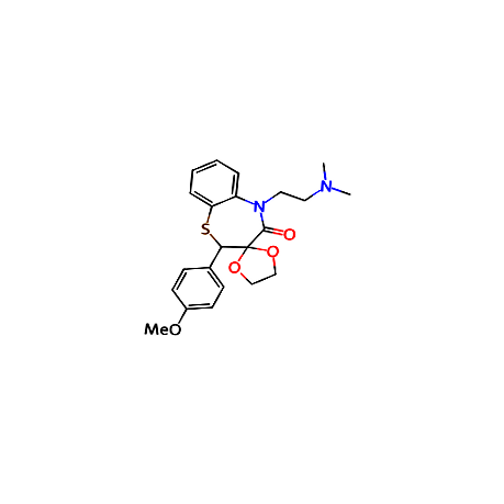 COc1ccc(C2Sc3ccccc3N(CCN(C)C)C(=O)C23OCCO3)cc1